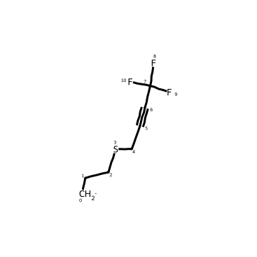 [CH2]CCSCC#CC(F)(F)F